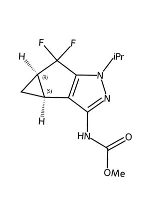 COC(=O)Nc1nn(C(C)C)c2c1[C@H]1C[C@H]1C2(F)F